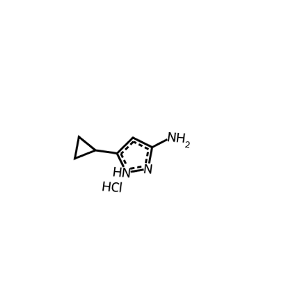 Cl.Nc1cc(C2CC2)[nH]n1